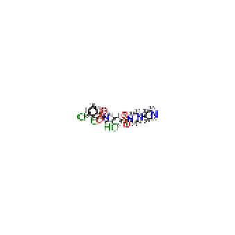 Cl.O=S(=O)(CCC1CCN(S(=O)(=O)c2cccc(Cl)c2Cl)C1)N1CCN(c2ccncc2)CC1